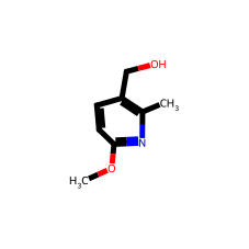 COc1ccc(CO)c(C)n1